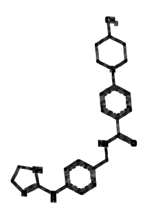 CC1CCN(c2ccc(C(=O)NCc3ccc(NC4=NCCN4)cc3)cc2)CC1